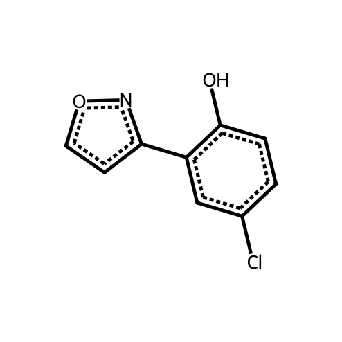 Oc1ccc(Cl)cc1-c1ccon1